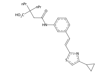 CCCC(CCC)(CC(=O)Nc1cccc(/C=C/c2nc(C3CC3)cs2)c1)C(=O)O